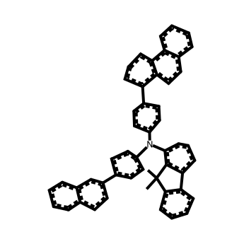 CC1(C)c2ccccc2-c2cccc(N(c3ccc(-c4ccc5ccccc5c4)cc3)c3ccc(-c4cccc5c4ccc4ccccc45)cc3)c21